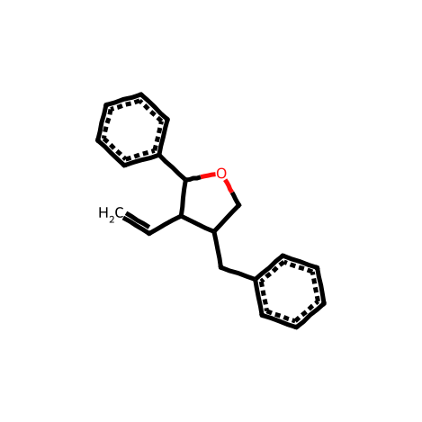 C=CC1C(Cc2ccccc2)COC1c1ccccc1